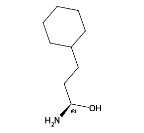 N[C@H](O)CCC1CCCCC1